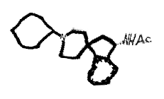 CC(=O)N[C@H]1CC2(CCN(C3CCCCCC3)CC2)c2ccccc21